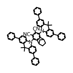 CC1(C)c2cc(-c3ccccc3)ccc2N(c2c(C#N)c(C#N)c(N3c4ccc(-c5ccccc5)cc4C(C)(C)c4cc(-c5ccccc5)ccc43)c3c2C2CCC3C2)c2ccc(-c3ccccc3)cc21